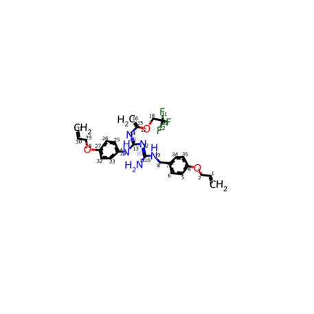 C=CCOc1ccc(CN/C(N)=N/C(=N\C(=C)OCC(F)(F)F)Nc2ccc(OCC=C)cc2)cc1